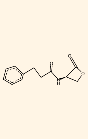 O=C(CCc1ccccc1)N[C@@H]1COC1=O